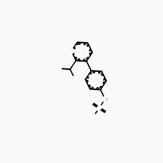 CC(C)c1ncccc1-c1ccc(NS(C)(=O)=O)cc1